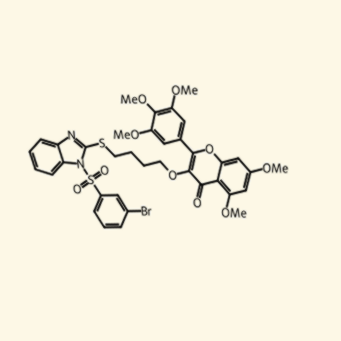 COc1cc(OC)c2c(=O)c(OCCCCSc3nc4ccccc4n3S(=O)(=O)c3cccc(Br)c3)c(-c3cc(OC)c(OC)c(OC)c3)oc2c1